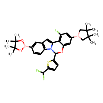 CC1(C)CB(c2cc(F)c3c(c2)OC(c2ccc(C(F)F)s2)n2c-3cc3cc(B4OC(C)(C)C(C)(C)O4)ccc32)CC1(C)C